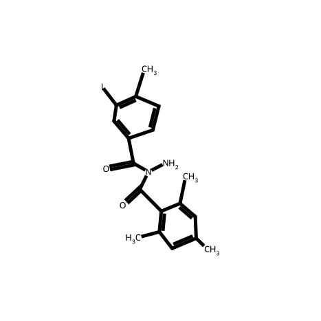 Cc1cc(C)c(C(=O)N(N)C(=O)c2ccc(C)c(I)c2)c(C)c1